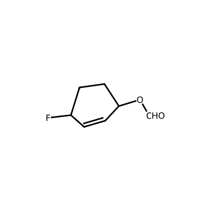 O=COC1C=CC(F)CC1